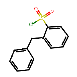 O=S(=O)(Cl)c1ccccc1Cc1ccccc1